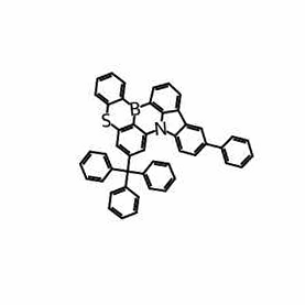 c1ccc(-c2ccc3c(c2)c2cccc4c2n3-c2cc(C(c3ccccc3)(c3ccccc3)c3ccccc3)cc3c2B4c2ccccc2S3)cc1